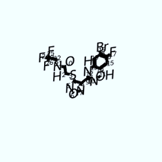 O=C(CSc1nonc1/C(=N/O)Nc1ccc(F)c(Br)c1)NCC(F)(F)F